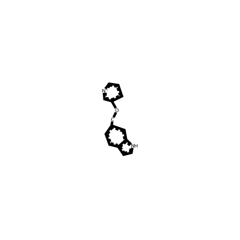 [c]1c[nH]c2cc(COc3cccnc3)ccc12